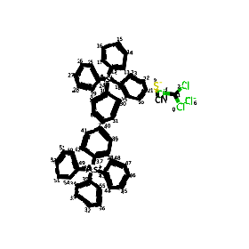 ClC(Cl)Cl.N#C[S-].[Cl-].c1ccc([As+](c2ccccc2)(c2ccccc2)c2ccccc2)cc1.c1ccc([As+](c2ccccc2)(c2ccccc2)c2ccccc2)cc1